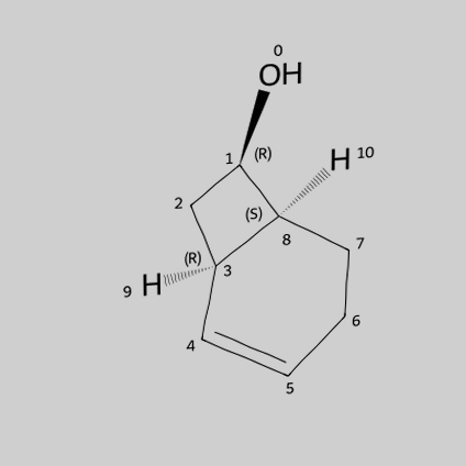 O[C@@H]1C[C@@H]2C=CCC[C@H]12